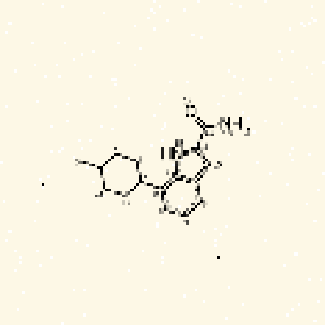 CC1CCC(c2cccc3cc(C(N)=O)[nH]c23)CC1